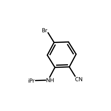 CC(C)Nc1cc(Br)ccc1C#N